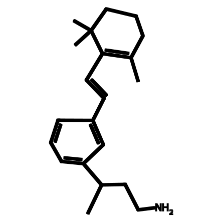 CC1=C(/C=C/c2cccc(C(C)CCN)c2)C(C)(C)CCC1